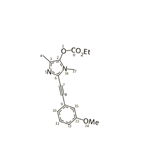 CCOC(=O)Oc1c(C)nc(C#Cc2cccc(OC)c2)n1C